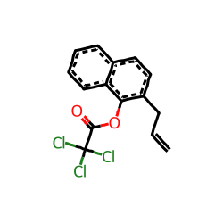 C=CCc1ccc2ccccc2c1OC(=O)C(Cl)(Cl)Cl